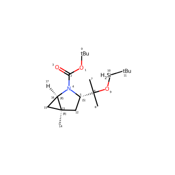 CC(C)(C)OC(=O)N1[C@H](C(C)(C)O[SiH2]C(C)(C)C)C[C@@]2(C)C[C@@H]12